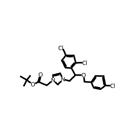 CC(C)(C)OC(=O)CN1C=CN(CC(OCc2ccc(Cl)cc2)c2ccc(Cl)cc2Cl)C1